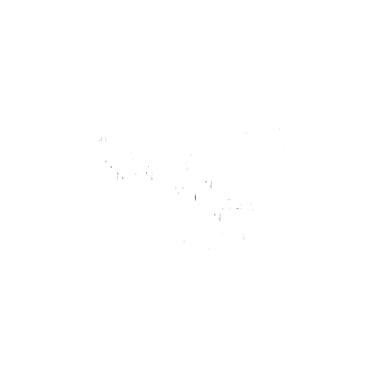 CC(C)(C)c1nnc(NC(=O)/C=C/[C@H](CCc2ccccc2)NC(=O)[C@@H]2CCCCN2OC(=O)C(F)(F)F)s1